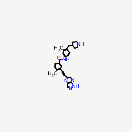 Cc1ccc(C(=O)Nc2ccc(CC3CCNCC3)c(C)c2)cc1C#Cc1cnc2[nH]ncc2n1